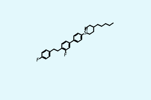 CCCCCC1CC[SiH](c2ccc(-c3ccc(CCc4ccc(F)cc4)c(F)c3)cc2)CC1